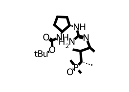 CC(/N=C(\N)N[C@H]1CCC[C@@H]1NC(=O)OC(C)(C)C)C(C)[C@H](C)P(C)(C)=O